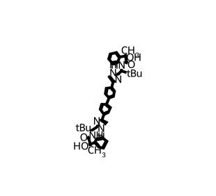 CC(O)(C(=O)NC(c1nc(-c2ccc(-c3ccc(-c4c[nH]c(C(NC(=O)C(C)(O)c5ccccc5)C(C)(C)C)n4)cc3)cc2)c[nH]1)C(C)(C)C)c1ccccc1